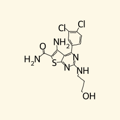 NC(=O)c1sc2nc(NCCCO)nc(-c3ccc(Cl)c(Cl)c3)c2c1N